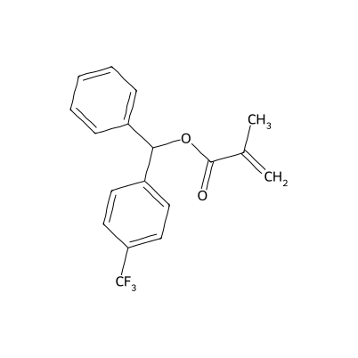 C=C(C)C(=O)OC(c1ccccc1)c1ccc(C(F)(F)F)cc1